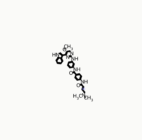 COc1cnc(Nc2cccc(NC(=O)c3ccc(NC(=O)/C=C/CN(C)C)cc3)c2)nc1-c1c[nH]c2ccccc12